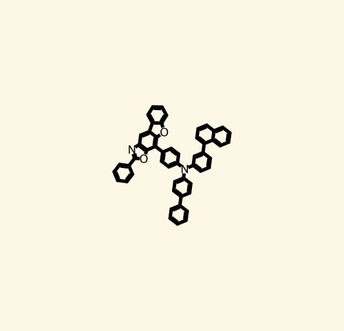 c1ccc(-c2ccc(N(c3ccc(-c4c5oc(-c6ccccc6)nc5cc5c4oc4ccccc45)cc3)c3cccc(-c4cccc5ccccc45)c3)cc2)cc1